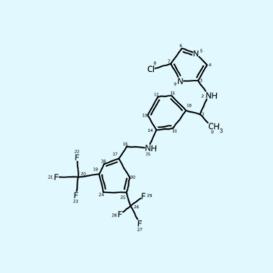 CC(Nc1cncc(Cl)n1)c1cccc(NCc2cc(C(F)(F)F)cc(C(F)(F)F)c2)c1